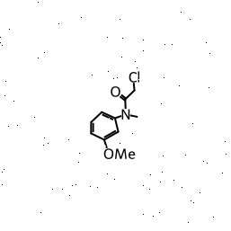 COc1cccc(N(C)C(=O)CCl)c1